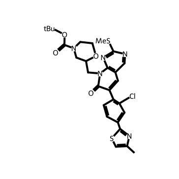 CSc1ncc2cc(-c3ccc(-c4nc(C)cs4)cc3Cl)c(=O)n(CC3CN(C(=O)OC(C)(C)C)CCO3)c2n1